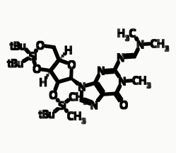 CN(C)/C=N/c1nc2c(ncn2[C@@H]2O[C@@H]3CO[Si](C(C)(C)C)(C(C)(C)C)O[C@@H]3C2O[Si](C)(C)C(C)(C)C)c(=O)n1C